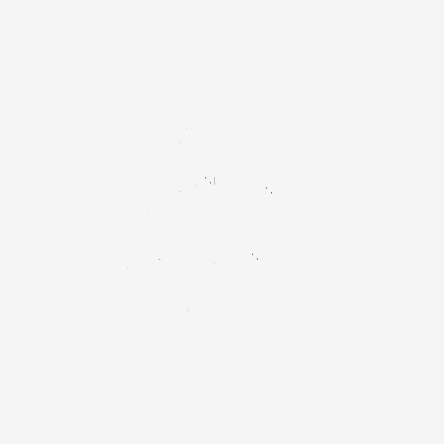 Cc1cncc(C2CC3CCC2NC3)n1.O=C(O)C(=O)O